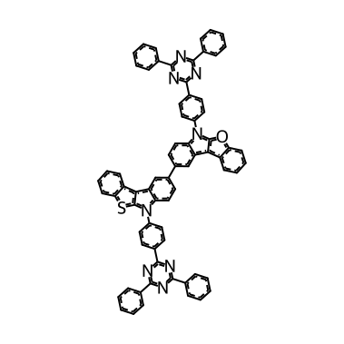 c1ccc(-c2nc(-c3ccccc3)nc(-c3ccc(-n4c5ccc(-c6ccc7c(c6)c6c8ccccc8sc6n7-c6ccc(-c7nc(-c8ccccc8)nc(-c8ccccc8)n7)cc6)cc5c5c6ccccc6oc54)cc3)n2)cc1